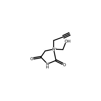 C#CC[N+]1(CO)CC(=O)NC1=O